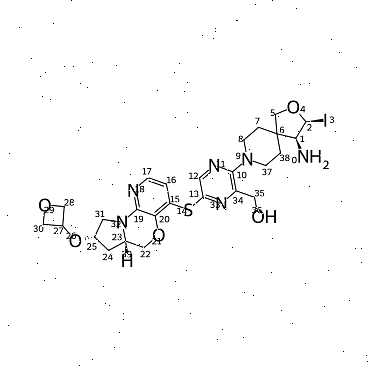 N[C@@H]1[C@H](I)OCC12CCN(c1ncc(Sc3ccnc4c3OC[C@@H]3C[C@H](OC5COC5)CN43)nc1CO)CC2